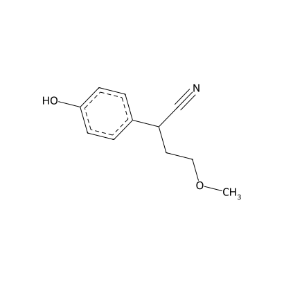 COCCC(C#N)c1ccc(O)cc1